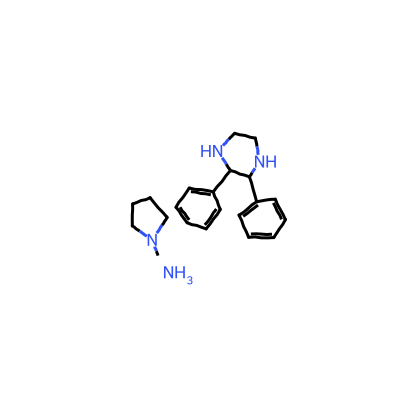 CN1CCCC1.N.c1ccc(C2NCCNC2c2ccccc2)cc1